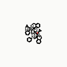 O=C(OC1(CNc2ccccc2)c2ccccc2CCN1CC1CC1)C(=O)OC1(CNc2ccccc2)c2ccccc2CCN1CC1CC1